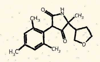 Cc1cc(C)c(C2C(=O)NC(C)(C3CCOC3)C2=O)c(C)c1